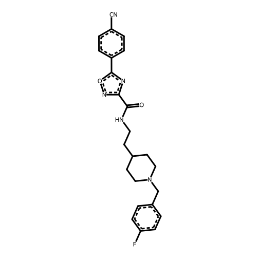 N#Cc1ccc(-c2nc(C(=O)NCCC3CCN(Cc4ccc(F)cc4)CC3)no2)cc1